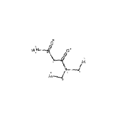 CC(=O)CN(CC(C)=O)C(=O)CC(N)=O